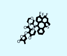 CC1=CC(Oc2c3n(ccc2=O)N(C2c4ccccc4-c4scc5c4-c4c2ccc(F)c4C(F)(F)C5)C2COCCN2C3=O)OC1=O